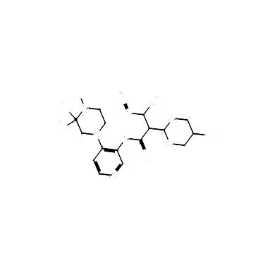 CN1CCN(c2ccncc2NC(=O)C(C(N)N=O)C2NCC(Cl)CN2)CC1(C)C